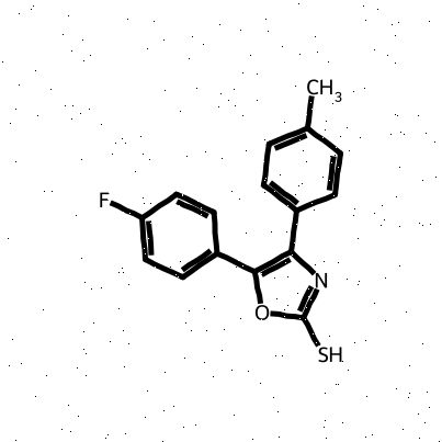 Cc1ccc(-c2nc(S)oc2-c2ccc(F)cc2)cc1